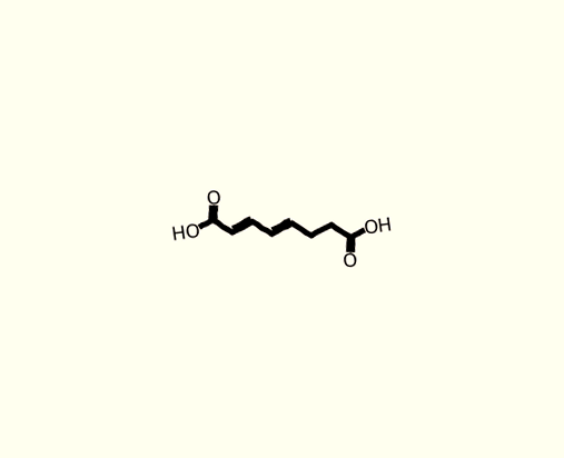 O=C(O)C=CC=CCCC(=O)O